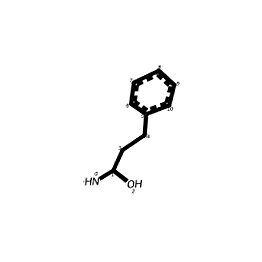 [NH]C(O)CCc1ccccc1